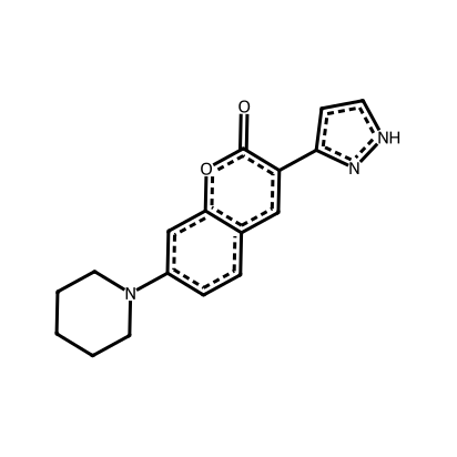 O=c1oc2cc(N3CCCCC3)ccc2cc1-c1cc[nH]n1